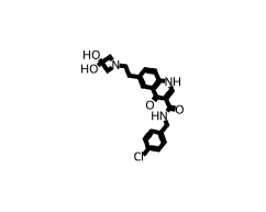 O=C(NCc1ccc(Cl)cc1)c1c[nH]c2ccc(CCN3CC(O)(O)C3)cc2c1=O